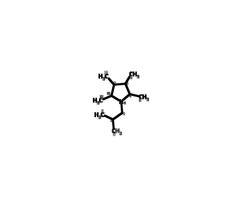 CC(C)CN1C(C)C(C)C(C)C1C